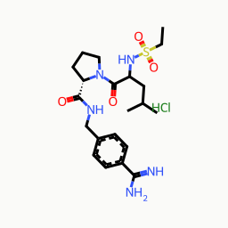 CCS(=O)(=O)NC(CC(C)C)C(=O)N1CCC[C@H]1C(=O)NCc1ccc(C(=N)N)cc1.Cl